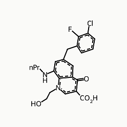 CCCNc1cc(Cc2cccc(Cl)c2F)cc2c(=O)c(C(=O)O)cn(CCO)c12